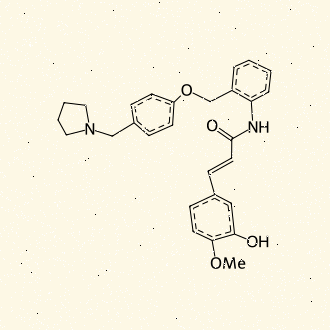 COc1ccc(C=CC(=O)Nc2ccccc2COc2ccc(CN3CCCC3)cc2)cc1O